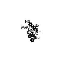 CCC(CCO[Si](c1ccccc1)(c1ccccc1)C(C)(C)C)Nc1nc(NC(=O)O)nc2c(Br)nn(Cc3ccc(C#N)cc3OC)c12